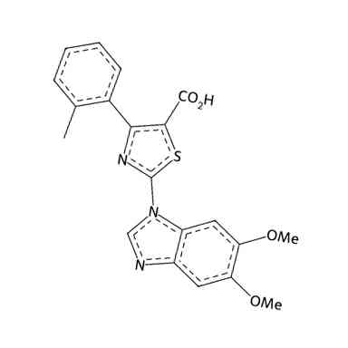 COc1cc2ncn(-c3nc(-c4ccccc4C)c(C(=O)O)s3)c2cc1OC